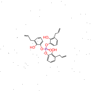 C=CCc1cccc(OP(=O)(Oc2cccc(CC=C)c2O)Oc2cccc(CC=C)c2O)c1O